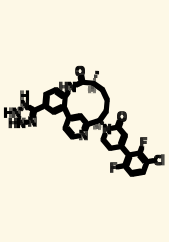 C[C@@H]1CCC[C@H](N2CCC(c3c(F)ccc(Cl)c3F)=CC2=O)c2cc(ccn2)-c2cc(C3=NNNN3)ccc2NC1=O